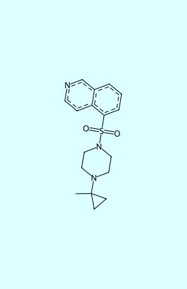 CC1(N2CCN(S(=O)(=O)c3cccc4cnccc34)CC2)CC1